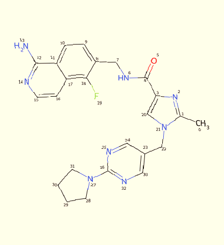 Cc1nc(C(=O)NCc2ccc3c(N)nccc3c2F)cn1Cc1cnc(N2CCCC2)nc1